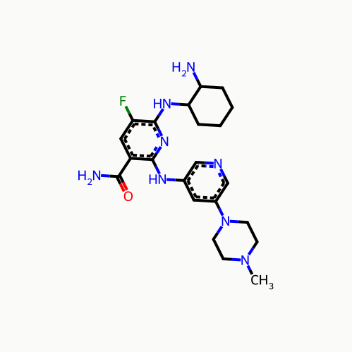 CN1CCN(c2cncc(Nc3nc(NC4CCCCC4N)c(F)cc3C(N)=O)c2)CC1